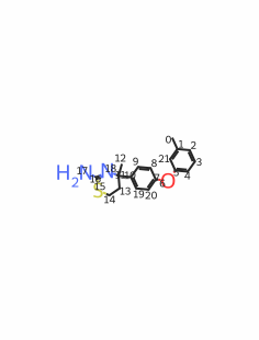 Cc1cccc(Oc2ccc(C3(C)CCSC(N)=N3)cc2)c1